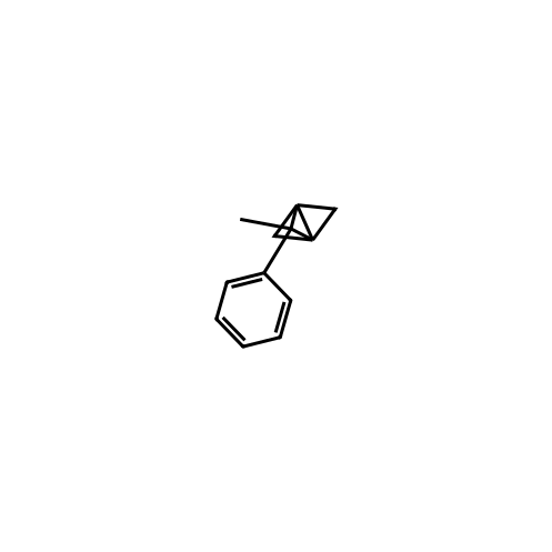 CC1(c2ccccc2)C23CC21C3